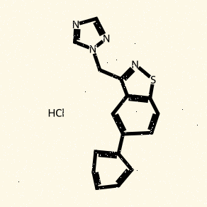 Cl.c1ccc(-c2ccc3snc(Cn4cncn4)c3c2)cc1